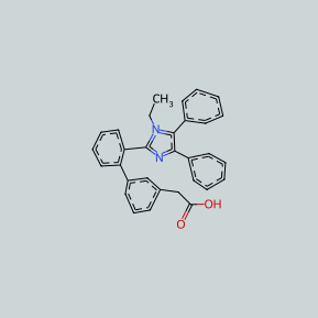 CCn1c(-c2ccccc2-c2cccc(CC(=O)O)c2)nc(-c2ccccc2)c1-c1ccccc1